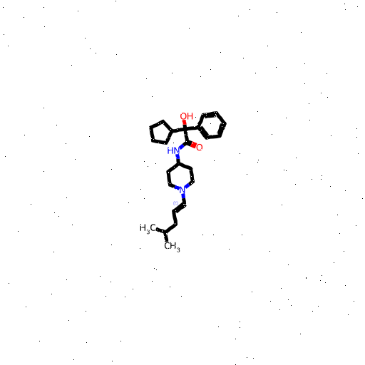 CC(C)C/C=C/N1CCC(NC(=O)C(O)(c2ccccc2)C2CCCC2)CC1